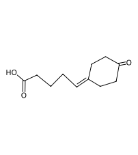 O=C(O)CCCC=C1CCC(=O)CC1